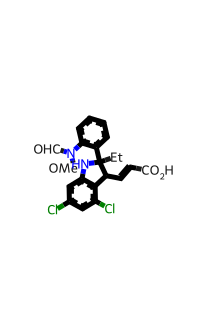 CCC1(c2ccccc2N(C=O)OC)Nc2cc(Cl)cc(Cl)c2C1C=CC(=O)O